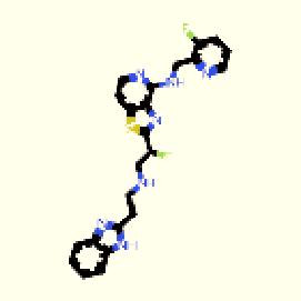 Fc1cccnc1CNc1nccc2sc(C(F)CNCCc3nc4ccccc4[nH]3)nc12